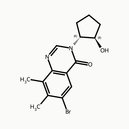 Cc1c(Br)cc2c(=O)n([C@@H]3CCC[C@H]3O)cnc2c1C